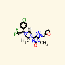 CC[C@@H]1CN(c2nc(=O)n(C)c3c2nnn3C[C@H]2CCCO2)[C@@H](C)CN1[C@@H](c1ccc(Cl)cc1)[C@@H]1CC1(F)F